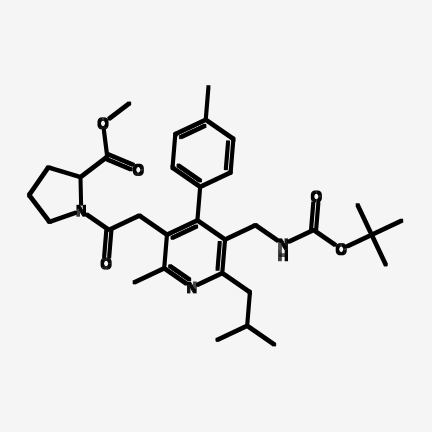 COC(=O)C1CCCN1C(=O)Cc1c(C)nc(CC(C)C)c(CNC(=O)OC(C)(C)C)c1-c1ccc(C)cc1